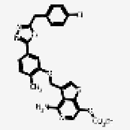 CCOC(=O)Oc1cnc(N)c2c(COc3cc(-c4nnc(Cc5ccc(Cl)cc5)o4)ccc3C)csc12